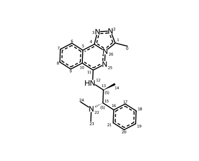 Cc1nnc2c3ccccc3c(N[C@@H](C)[C@H](c3ccccc3)N(C)C)nn12